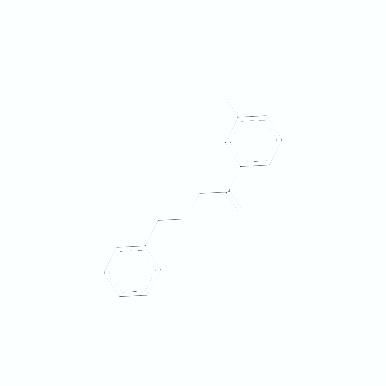 O=C(COCc1ccccc1)c1cccc(F)c1